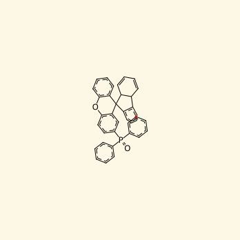 O=P(c1ccccc1)(c1ccccc1)c1ccc2c(c1)C1(c3ccccc3O2)c2ccccc2C2C=CC=CC21